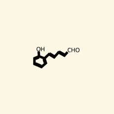 O=CC=CC=Cc1ccccc1O